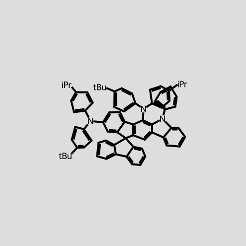 CC(C)c1ccc(N(c2ccc(C(C)(C)C)cc2)c2ccc3c(c2)C2(c4ccccc4-c4ccccc42)c2cc4c5ccccc5n(-c5ccccc5)c4c(N(c4ccc(C(C)C)cc4)c4ccc(C(C)(C)C)cc4)c2-3)cc1